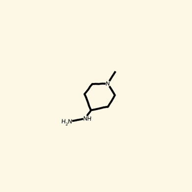 CN1CCC(NN)CC1